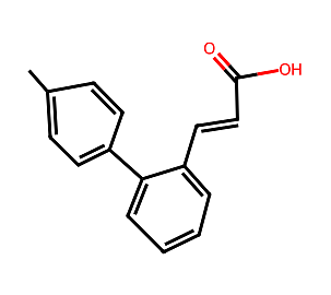 Cc1ccc(-c2ccccc2C=CC(=O)O)cc1